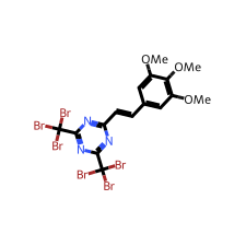 COc1cc(C=Cc2nc(C(Br)(Br)Br)nc(C(Br)(Br)Br)n2)cc(OC)c1OC